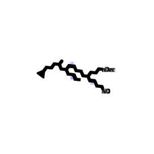 C/C=C/CC(/C=C\CCCC(/C=C/CCN=O)CCCCCCCCCCCCC)CC(C)CCCC1CC1